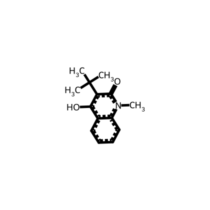 Cn1c(=O)c(C(C)(C)C)c(O)c2ccccc21